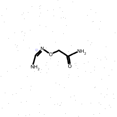 N/C=N\OCC(N)=O